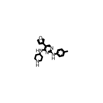 Cc1ccc(Nc2ncc(-c3ccoc3)c(NC3CCNCC3)n2)cc1